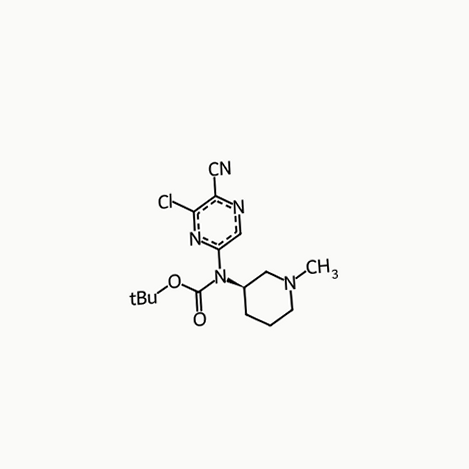 CN1CCC[C@@H](N(C(=O)OC(C)(C)C)c2cnc(C#N)c(Cl)n2)C1